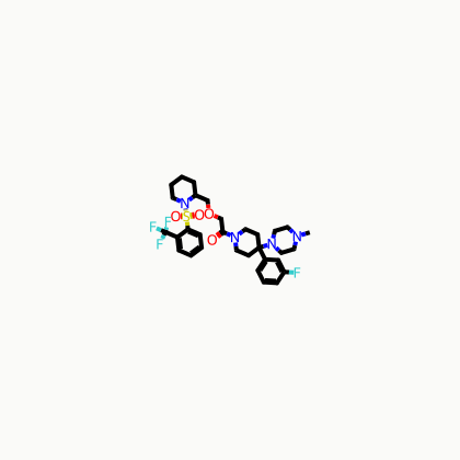 CN1CCN(C2(c3cccc(F)c3)CCN(C(=O)COCC3CCCCN3S(=O)(=O)c3ccccc3C(F)(F)F)CC2)CC1